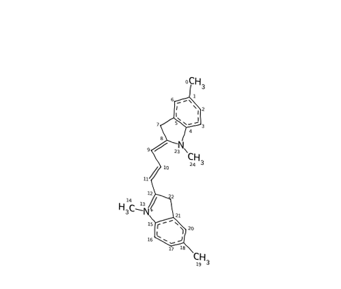 Cc1ccc2c(c1)C/C(=C/C=CC1=[N+](C)c3ccc(C)cc3C1)N2C